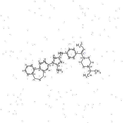 C/C=C(\c1ccc(Nc2nc(N)n(-c3cc4c(nn3)-c3ccccc3CCC4)n2)cc1)N1CCN(C(C)C)CC1